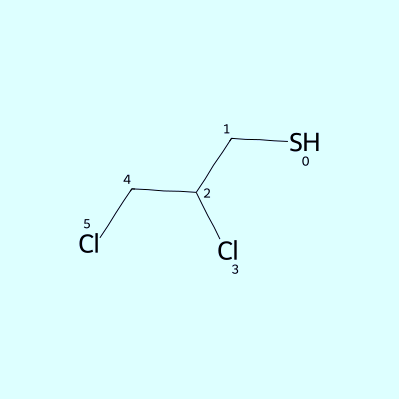 SCC(Cl)CCl